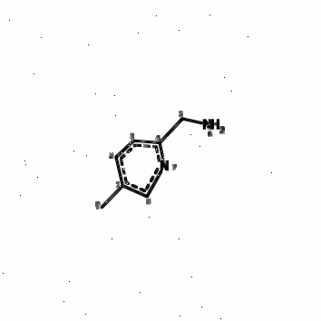 [CH2]c1ccc(CN)nc1